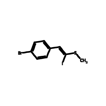 CSC(I)=Cc1ccc(Br)cc1